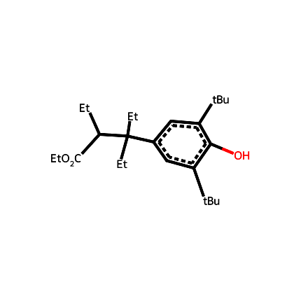 CCOC(=O)C(CC)C(CC)(CC)c1cc(C(C)(C)C)c(O)c(C(C)(C)C)c1